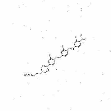 COCCCC1COC(c2ccc(CCc3ccc(COc4ccc(C(F)F)c(F)c4)c(F)c3)c(F)c2)OC1